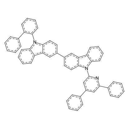 c1ccc(-c2cc(-c3ccccc3)nc(-n3c4ccccc4c4cc(-c5ccc6c(c5)c5ccccc5n6-c5ccccc5-c5ccccc5)ccc43)c2)cc1